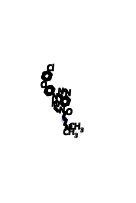 CN(C)C/C=C/C(=O)N1CCOc2c1ccc1ncnc(Nc3ccc(Oc4ccc(Cl)cc4)cc3)c21